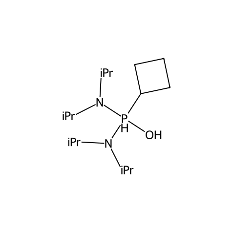 CC(C)N(C(C)C)[PH](O)(C1CCC1)N(C(C)C)C(C)C